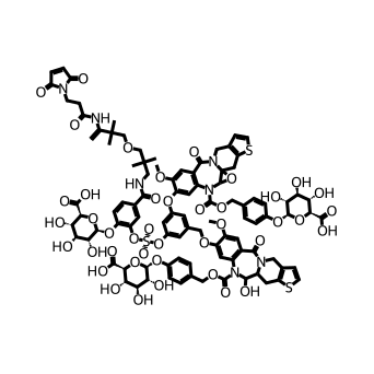 C=C(NC(=O)CCN1C(=O)C=CC1=O)C(C)(C)COCC(C)(C)CNC(=O)c1ccc(O[C@@H]2O[C@H](C(=O)O)[C@@H](O)[C@H](O)[C@H]2O)c(OS(=O)(=O)Oc2cc(COc3cc4c(cc3OC)C(=O)N3Cc5ccsc5CC3C(O)N4C(=O)OCc3ccc(O[C@@H]4O[C@H](C(=O)O)[C@@H](O)[C@H](O)[C@H]4O)cc3)cc(Oc3cc4c(cc3OC)C(=O)N3Cc5ccsc5CC35OC5N4C(=O)OCc3ccc(O[C@@H]4O[C@H](C(=O)O)[C@@H](O)[C@H](O)[C@H]4O)cc3)c2)c1